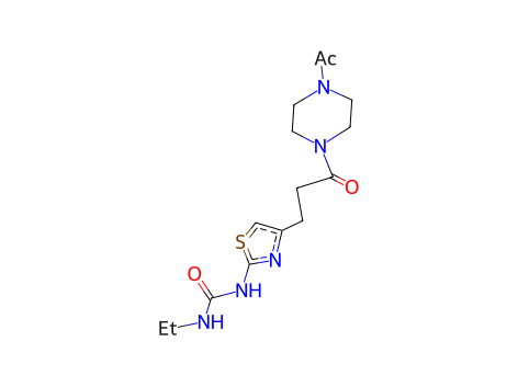 CCNC(=O)Nc1nc(CCC(=O)N2CCN(C(C)=O)CC2)cs1